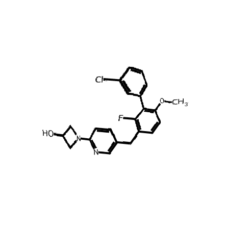 COc1ccc(Cc2ccc(N3CC(O)C3)nc2)c(F)c1-c1cccc(Cl)c1